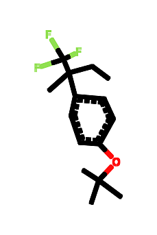 CCC(C)(c1ccc(OC(C)(C)C)cc1)C(F)(F)F